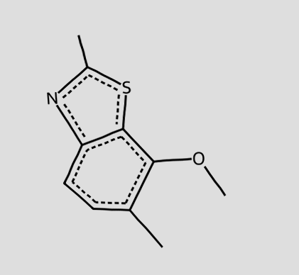 COc1c(C)ccc2nc(C)sc12